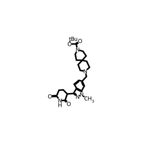 Cn1nc(C2CCC(=O)NC2=O)c2ccc(CN3CCC4(CC3)CCN(C(=O)OC(C)(C)C)CC4)cc21